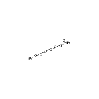 CC(C)CCOCCOCCOCCOCCOCCOCCC(=O)C(C)C